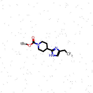 CC(C)(C)OC(=O)N1CCC(c2nc(CC(F)(F)F)c[nH]2)CC1